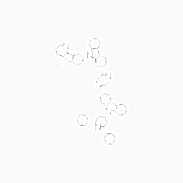 c1ccc(-c2cc(-n3c4ccccc4c4cc(-c5cnc(-c6ccc7c8ccccc8n(-c8ccc9sc%10cccnc%10c9c8)c7c6)cn5)ccc43)cc(-c3ccccc3)n2)cc1